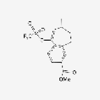 COC(=O)c1ccc2c(c1)CCC(C)C=C2OS(=O)(=O)C(F)(F)F